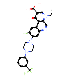 CCn1cc(C(=O)O)c(=O)c2c3cc(F)c(N4CCN(c5cccc(C(F)(F)F)c5)CC4)cc3ncc21